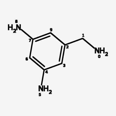 NCc1cc(N)cc(N)c1